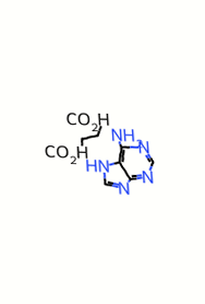 Nc1ncnc2nc[nH]c12.O=C(O)CCC(=O)O